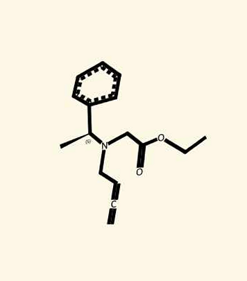 C=C=CCN(CC(=O)OCC)[C@@H](C)c1ccccc1